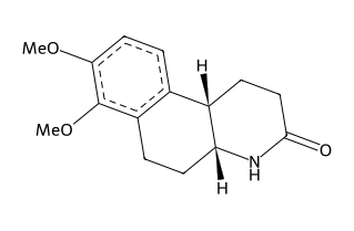 COc1ccc2c(c1OC)CC[C@H]1NC(=O)CC[C@@H]21